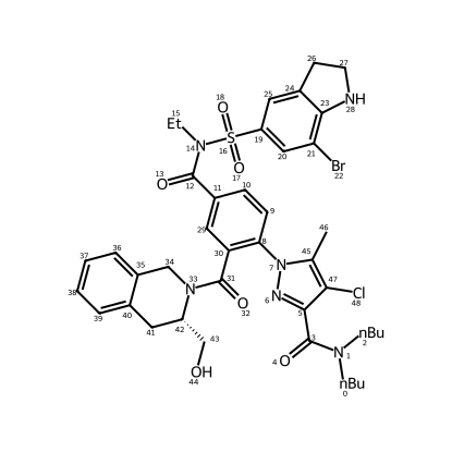 CCCCN(CCCC)C(=O)c1nn(-c2ccc(C(=O)N(CC)S(=O)(=O)c3cc(Br)c4c(c3)CCN4)cc2C(=O)N2Cc3ccccc3C[C@H]2CO)c(C)c1Cl